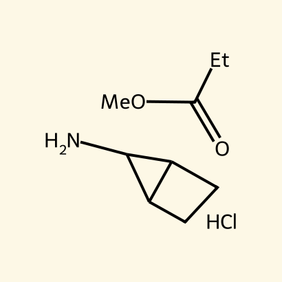 CCC(=O)OC.Cl.NC1C2CCC12